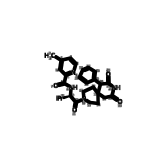 Cc1ccnc(C(=O)N[C@@H](C(=O)N2CCC3(CC2)CC(=O)NC(=O)C3c2ccccc2)C(C)C)c1